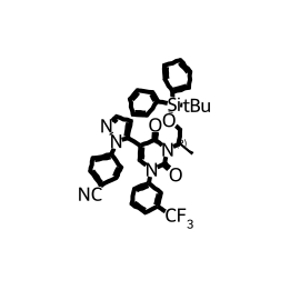 C[C@H](CO[Si](c1ccccc1)(c1ccccc1)C(C)(C)C)n1c(=O)c(-c2ccnn2-c2ccc(C#N)cc2)cn(-c2cccc(C(F)(F)F)c2)c1=O